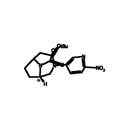 CC(C)(C)OC(=O)N1C2CC[C@H]1CN(c1ccc([N+](=O)[O-])nc1)C(=O)C2